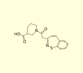 O=C(O)C1CCCN(C(=O)CC2=NSc3ccccc3C=C2)C1